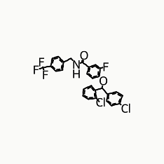 O=C(NCc1ccc(C(F)(F)F)cc1)c1ccc(OC(c2ccc(Cl)cc2)c2ccccc2Cl)c(F)c1